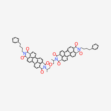 CC(COCC(C)N1C(=O)c2ccc3c4ccc5c6c(ccc(c7ccc(c2c37)C1=O)c64)C(=O)N(CCCCc1ccccc1)C5=O)N1C(=O)c2ccc3c4ccc5c6c(ccc(c7ccc(c2c37)C1=O)c64)C(=O)N(CCCCc1ccccc1)C5=O